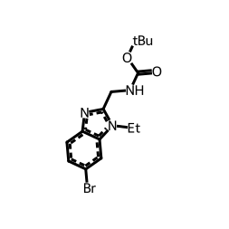 CCn1c(CNC(=O)OC(C)(C)C)nc2ccc(Br)cc21